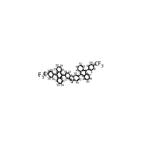 FC(F)(F)c1ccc(-c2c3c(c(C4=CC5c6ccc(-c7c8ccccc8c(-c8ccc(C(F)(F)F)cc8)c8ccccc78)cc6SC5C=C4)c4ccccc24)CCC=C3)cc1